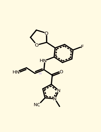 Cn1nc(C(=O)/C(=C/C=N)Nc2ccc(F)cc2C2OCCO2)cc1C#N